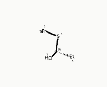 CCCS[C@@H](O)CC